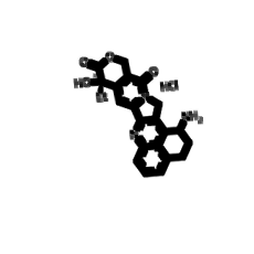 CC[C@@]1(O)C(=O)OCc2c1cc1n(c2=O)Cc2c-1nc1cccc3c1c2C(N)CC3.Cl